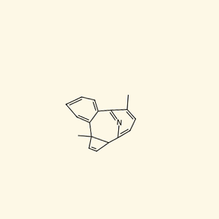 Cc1ccc2nc1-c1ccccc1C1(C)C=CC21